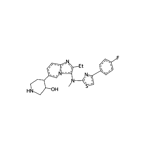 CCc1nc2ccc(C3CCNCC3O)cn2c1N(C)c1nc(-c2ccc(F)cc2)cs1